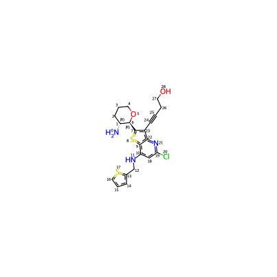 N[C@@H]1CCCO[C@H]1c1sc2c(NCc3cccs3)cc(Cl)nc2c1C#CCCO